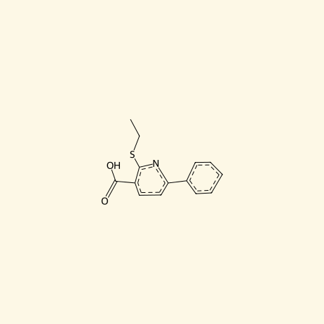 CCSc1nc(-c2ccccc2)ccc1C(=O)O